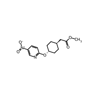 COC(=O)C[C@H]1CC[C@H](Oc2ccc([N+](=O)[O-])cn2)CC1